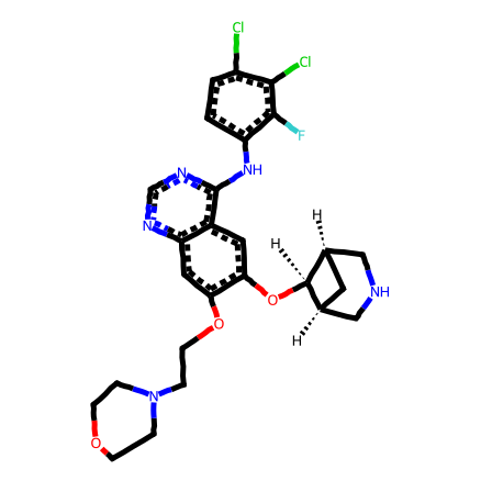 Fc1c(Nc2ncnc3cc(OCCN4CCOCC4)c(O[C@@H]4[C@@H]5CNC[C@H]4C5)cc23)ccc(Cl)c1Cl